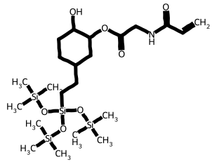 C=CC(=O)NCC(=O)OC1CC(CC[Si](O[Si](C)(C)C)(O[Si](C)(C)C)O[Si](C)(C)C)CCC1O